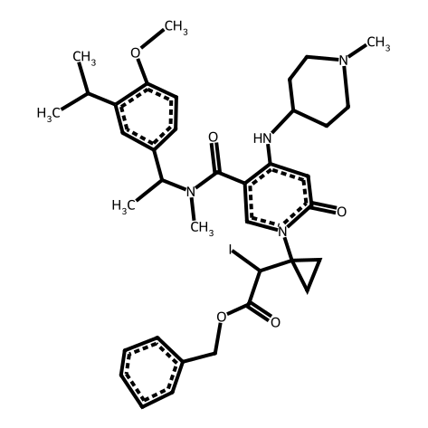 COc1ccc(C(C)N(C)C(=O)c2cn(C3(C(I)C(=O)OCc4ccccc4)CC3)c(=O)cc2NC2CCN(C)CC2)cc1C(C)C